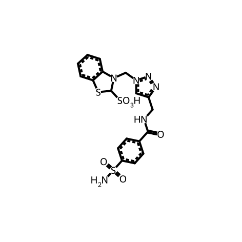 NS(=O)(=O)c1ccc(C(=O)NCc2cn(CN3c4ccccc4SC3S(=O)(=O)O)nn2)cc1